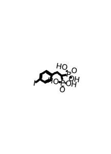 O=P(O)(O)C(Cc1ccc(I)cc1)P(=O)(O)O